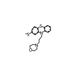 CSc1ccc2c(c1)N(CCCN1CCOCC1)c1ccccc1S2